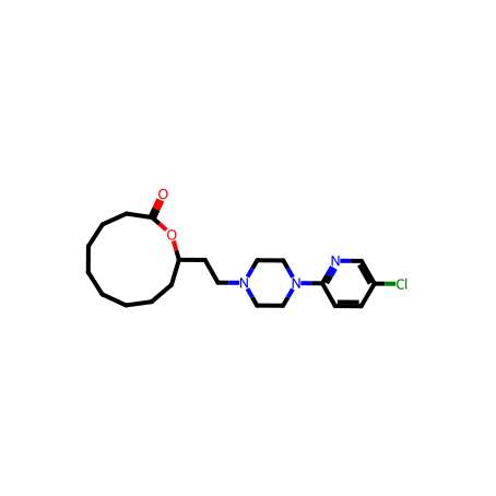 O=C1CCCCCCCCC(CCN2CCN(c3ccc(Cl)cn3)CC2)O1